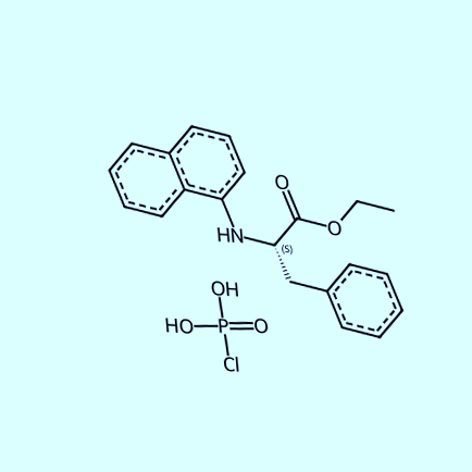 CCOC(=O)[C@H](Cc1ccccc1)Nc1cccc2ccccc12.O=P(O)(O)Cl